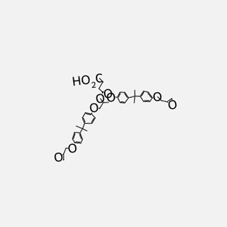 CC(C)(c1ccc(OCC2CO2)cc1)c1ccc(OCC(COc2ccc(C(C)(C)c3ccc(OCC4CO4)cc3)cc2)OC(=O)CCC(=O)O)cc1